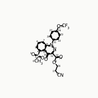 CS(=O)(=O)c1cccc2c1c(=O)c(C(=O)OCCC#N)nn2-c1ccc(OC(F)(F)F)cc1